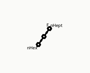 CCCCCCCc1ccc(C#Cc2ccc(C#Cc3ccc(CCCCCC)cc3)cc2)cc1F